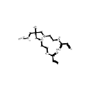 C=CC(=O)OCCOCC(CC)(COCCC)COCCOC(=O)C=C